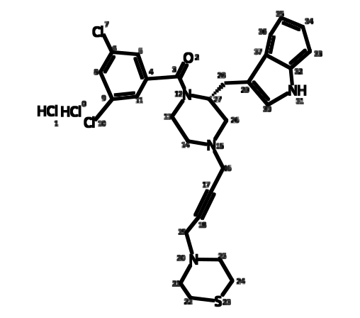 Cl.Cl.O=C(c1cc(Cl)cc(Cl)c1)N1CCN(CC#CCN2CCSCC2)C[C@H]1Cc1c[nH]c2ccccc12